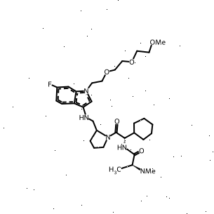 CN[C@@H](C)C(=O)N[C@H](C(=O)N1CCCC1CNc1cn(CCOCCOCCOC)c2cc(F)ccc12)C1CCCCC1